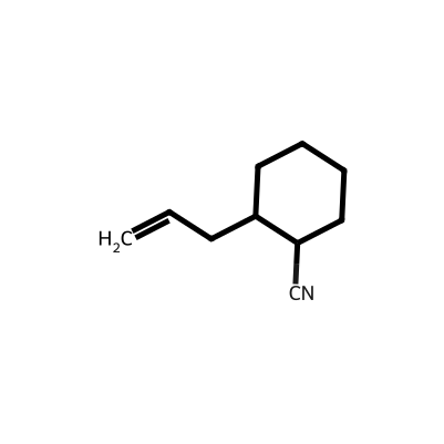 C=CCC1CCCCC1C#N